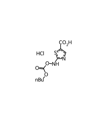 CCCCOC(=O)ONc1ncc(C(=O)O)s1.Cl